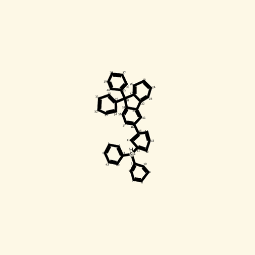 c1ccc([SiH](c2ccccc2)c2cccc(-c3ccc4c(c3)-c3ccccc3C4(c3ccccc3)c3ccccc3)c2)cc1